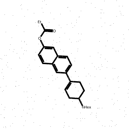 CCCCCCC1CC=C(c2ccc3cc(OC(=O)CC)ccc3c2)CC1